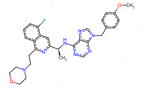 COc1ccc(Cn2cnc3c(N[C@@H](C)c4cc5c(F)cccc5c(CCN5CCOCC5)n4)ncnc32)cc1